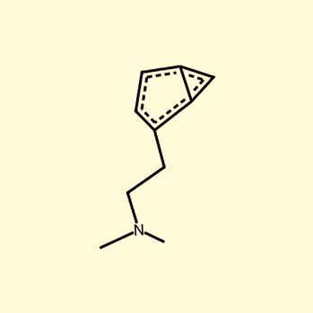 CN(C)CCc1ccc2cc1-2